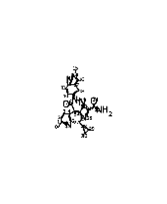 Cc1ccc(-c2c(=O)n(-c3ccc4nn(C)cc4c3)nc3c(C(N)=O)cn(CC4CC4)c23)cn1